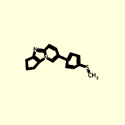 CSc1ccc(-c2ccc3nc4c(n3c2)CCC4)cc1